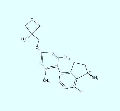 Cc1cc(OCC2(C)COC2)cc(C)c1-c1ccc(F)c2c1CC[C@H]2N